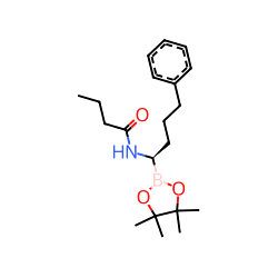 CCCC(=O)N[C@@H](CCCc1ccccc1)B1OC(C)(C)C(C)(C)O1